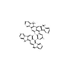 Cc1cc2c3c(c1)-c1c4c(cc5c6c(cc(c15)B3c1cc3c(c5cc7c(c-2c15)-c1ccccc1C7(C)C)C(C)(C)c1ccccc1-3)-c1ccccc1C6(C)C)C(C)(C)c1ccccc1-4